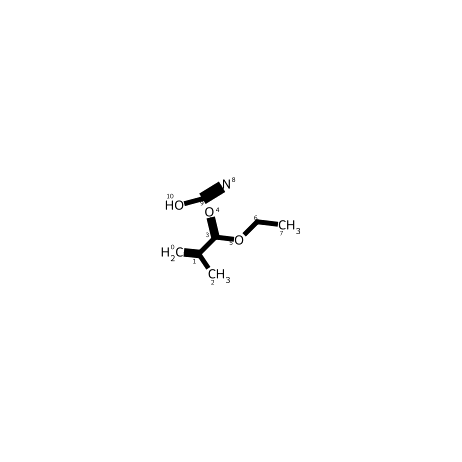 C=C(C)C(=O)OCC.N#CO